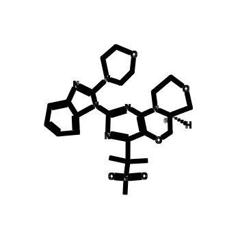 CC(C)(c1nc(-n2c(N3CCOCC3)nc3ccccc32)nc2c1OC[C@@H]1COCCN21)S(C)(=O)=O